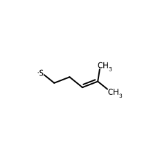 CC(C)=CCC[S]